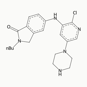 CCCCN1Cc2cc(Nc3cc(N4CCNCC4)cnc3Cl)ccc2C1=O